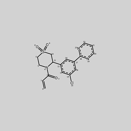 C=CC(=O)N1CCS(=O)(=O)CC1c1cc(Cl)cc(-c2ncccn2)c1